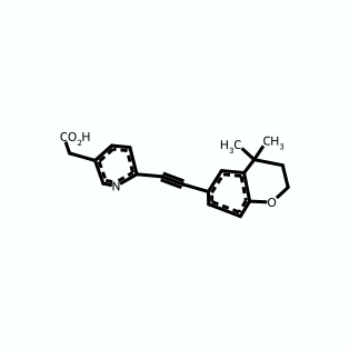 CC1(C)CCOc2ccc(C#Cc3ccc(CC(=O)O)cn3)cc21